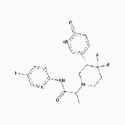 CC(C(=O)Nc1ccc(F)cn1)N1CCC(F)(F)[C@@H](c2ccc(=O)[nH]c2)C1